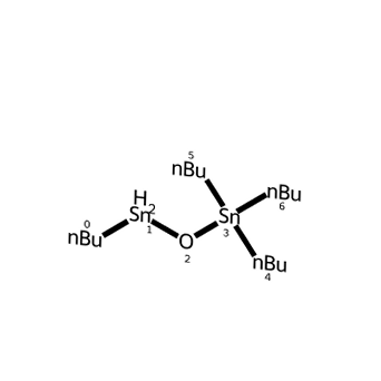 CCC[CH2][SnH2][O][Sn]([CH2]CCC)([CH2]CCC)[CH2]CCC